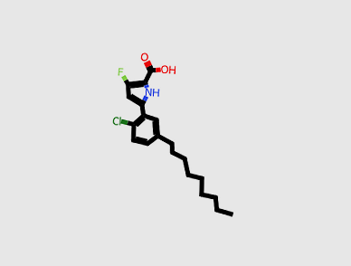 CCCCCCCCCc1ccc(Cl)c(-c2cc(F)c(C(=O)O)[nH]2)c1